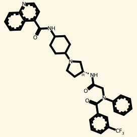 O=C(CN(C(=O)c1cccc(C(F)(F)F)c1)c1ccccc1)N[C@@H]1CCN(C2CCC(NC(=O)c3ccnc4ccccc34)CC2)C1